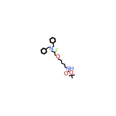 CC(C)(C)OC(=O)NCCCCCOCC(F)CN(Cc1ccccc1)Cc1ccccc1